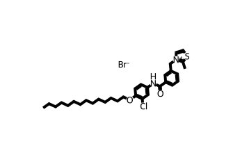 CCCCCCCCCCCCCCOc1ccc(NC(=O)c2cccc(C[n+]3ccsc3C)c2)cc1Cl.[Br-]